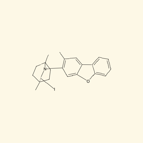 Cc1cc2c(cc1N1C(I)C3(C)CCC1(C)CC3)oc1ccccc12